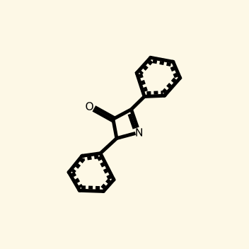 O=C1C(c2ccccc2)=NC1c1ccccc1